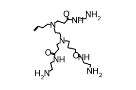 C=CCCN(CCC(=O)NCCN)CCN(CCCONCCN)CCC(=O)NCCN